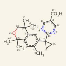 Cc1cc2c(cc1C1(c3ncc(C(=O)O)cn3)CC1)C(C)(C)COC2(C)C